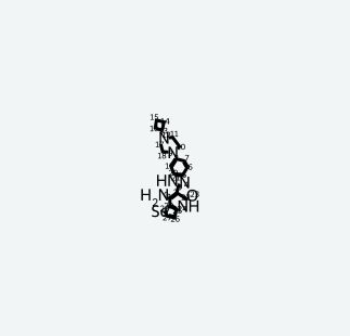 Nc1c(-c2nc3ccc(N4CCN(C5CCC5)CC4)cc3[nH]2)c(=O)[nH]c2cc[se]c12